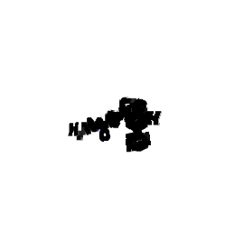 CN(c1cc(-c2cnccn2)c[nH]c1=O)C1CN(C(=O)/C=C/CN)C1